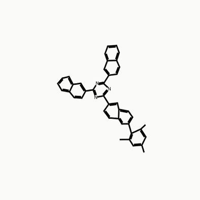 Cc1cc(C)c(-c2ccc3cc(-c4nc(-c5ccc6ccccc6c5)nc(-c5ccc6ccccc6c5)n4)ccc3c2)c(C)c1